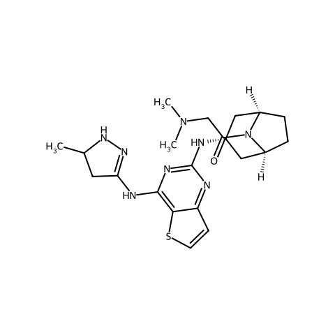 CC1CC(Nc2nc(N[C@@H]3C[C@H]4CC[C@@H](C3)N4C(=O)CN(C)C)nc3ccsc23)=NN1